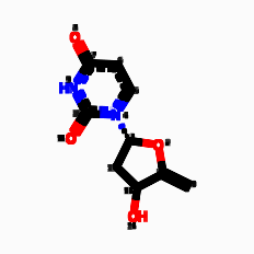 C=C1O[C@@H](n2ccc(=O)[nH]c2=O)CC1O